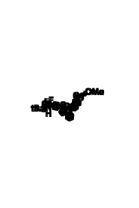 COCCCOC(=O)c1cc2cc(NC(=O)[C@@H]3[C@H](C4CCCCC4)CCN3C(=O)C3CCC([C@H](NC(=O)OC(C)(C)C)C(F)F)CC3)ccc2o1